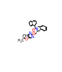 CC(C)Oc1cnc(OC[C@@H]2Cc3ccccc3CN2C(=O)c2cccc3ccccc23)nc1